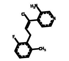 Cc1cccc(F)c1C/C=C(/Cl)c1ccncc1N